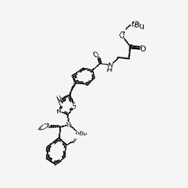 CCCCN(C(=O)c1ccccc1F)c1nnc(-c2ccc(C(=O)NCCC(=O)OC(C)(C)C)cc2)s1